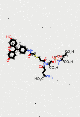 N[C@@H](CCC(=O)N(C(=O)CCSCC(=O)Nc1ccc(C2c3ccc(O)cc3OC3=CC(=O)C=CC32)c(C(=O)O)c1)[C@@H](COP(=O)(O)N[C@@H](CCC(=O)O)C(=O)O)C(=O)O)C(=O)O